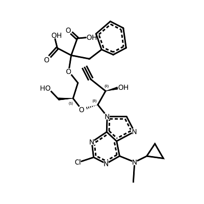 C#C[C@@H](O)[C@@H](O[C@@H](CO)COC(Cc1ccccc1)(C(=O)O)C(=O)O)n1cnc2c(N(C)C3CC3)nc(Cl)nc21